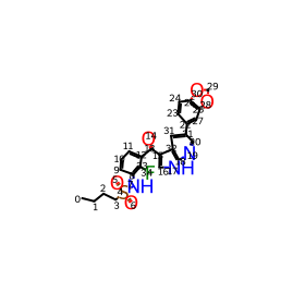 CCCCS(=O)(=O)Nc1cccc(C(=O)c2c[nH]c3ncc(-c4ccc5c(c4)OCO5)cc23)c1F